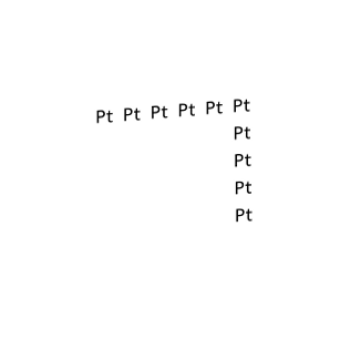 [Pt].[Pt].[Pt].[Pt].[Pt].[Pt].[Pt].[Pt].[Pt].[Pt]